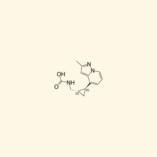 Cc1cc2c([C@H]3C[C@@H]3CNC(=O)O)cccn2n1